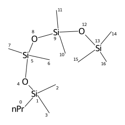 [CH2]CC[Si](C)(C)O[Si](C)(C)O[Si](C)(C)O[Si](C)(C)C